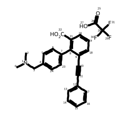 CN(C)Cc1ccc(-c2c(C#Cc3ccccc3)cccc2C(=O)O)cc1.O=C(O)C(F)(F)F